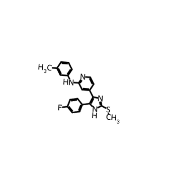 CSc1nc(-c2ccnc(Nc3cccc(C)c3)c2)c(-c2ccc(F)cc2)[nH]1